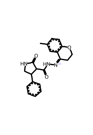 Cc1ccc2c(c1)/C(=N\NC(=O)C1C(=O)NCC1c1ccccc1)CCO2